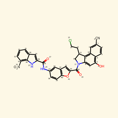 N#Cc1ccc2c(O)cc3c(c2c1)C(CCCl)CN3C(=O)c1cc2cc(NC(=O)c3cc4cccc([N+](=O)[O-])c4[nH]3)ccc2o1